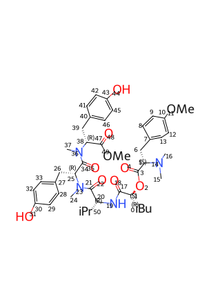 CC[C@@H](C)[C@H](OC(=O)[C@H](Cc1ccc(OC)cc1)N(C)C)C(=O)N[C@@H](C(=O)N(C)[C@H](Cc1ccc(O)cc1)C(=O)N(C)[C@H](Cc1ccc(O)cc1)C(=O)OC)C(C)C